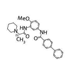 COc1ccc(NC(=O)c2ccc(-c3ccccc3)cc2)cc1NC(=O)[C@H](C)N1CCCCC1